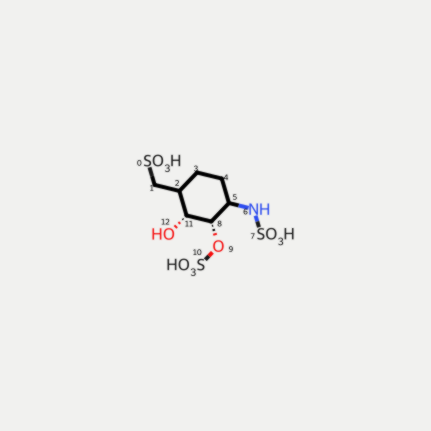 O=S(=O)(O)CC1CCC(NS(=O)(=O)O)[C@H](OS(=O)(=O)O)[C@@H]1O